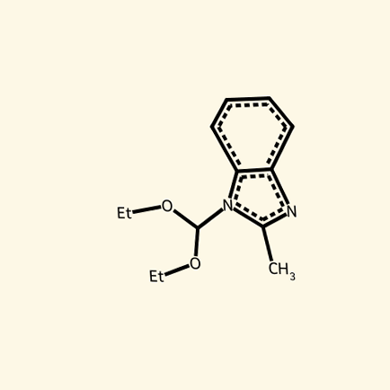 CCOC(OCC)n1c(C)nc2ccccc21